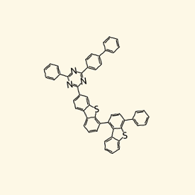 c1ccc(-c2ccc(-c3nc(-c4ccccc4)nc(-c4ccc5c(c4)sc4c(-c6ccc(-c7ccccc7)c7sc8ccccc8c67)cccc45)n3)cc2)cc1